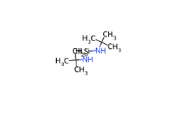 CC(C)(C)N[SiH2]NC(C)(C)C